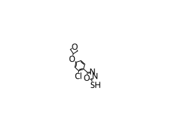 Sc1nnc(-c2ccc(OC3COC3)cc2Cl)o1